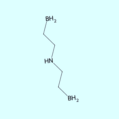 BCCNCCB